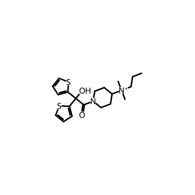 CCC[N+](C)(C)C1CCN(C(=O)C(O)(c2cccs2)c2cccs2)CC1